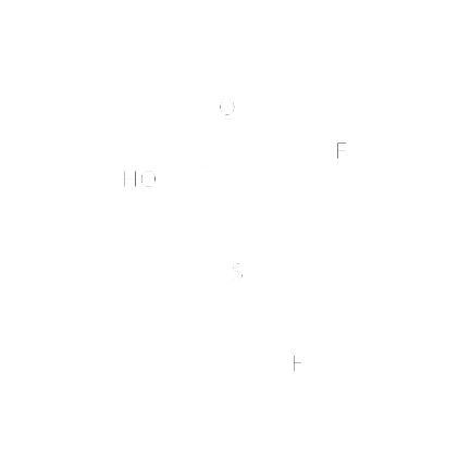 O=C(O)c1sc(F)cc1F